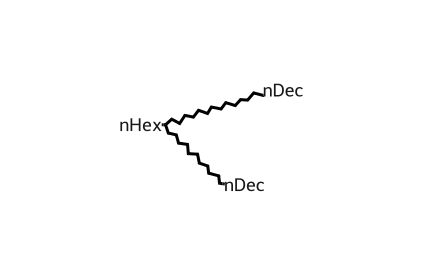 [CH2]CCCCCC(CCCCCCCCCCCCCCCCCCCCC)CCCCCCCCCCCCCCCCCCCCCCCC